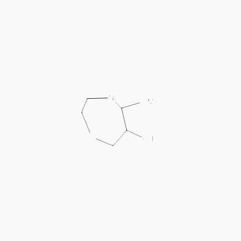 COC1NCCOCC1C